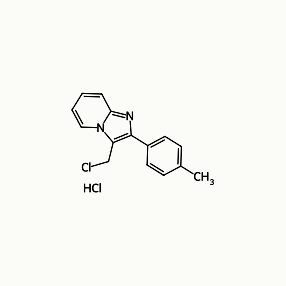 Cc1ccc(-c2nc3ccccn3c2CCl)cc1.Cl